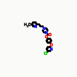 Cc1ccc(CCCN2CCN(C(=O)Oc3ccc(Oc4ccc(Cl)cn4)cc3)CC2)nc1